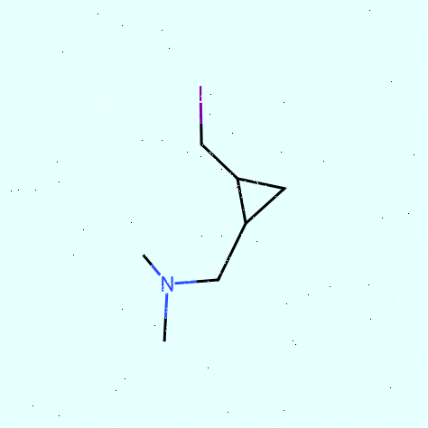 CN(C)CC1CC1CI